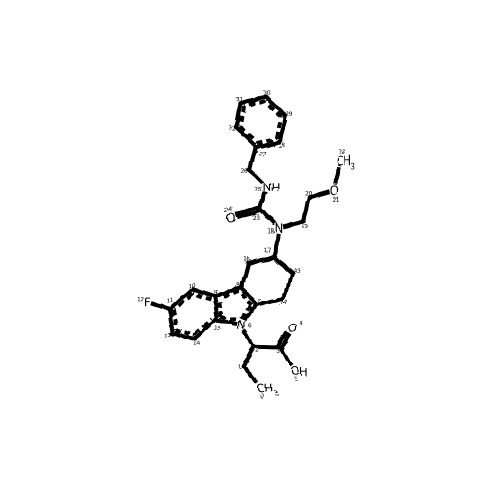 CCC(C(=O)O)n1c2c(c3cc(F)ccc31)CC(N(CCOC)C(=O)NCc1ccccc1)CC2